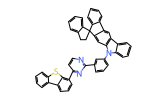 c1cc(-c2nccc(-c3cccc4c3sc3ccccc34)n2)cc(-n2c3ccccc3c3cc4c(cc32)C2(CCc3ccccc32)c2ccccc2-4)c1